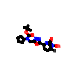 CC(C)(C)OC(=O)N(Cc1nnc([C@@H]2CC[C@@H]3CN2C(=O)N3O)o1)C1CCCC1